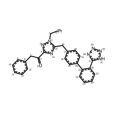 CC(C)Cn1nc(C(=O)Cc2ccccc2)nc1Cc1ccc(-c2ccccc2-c2nnn[nH]2)cc1